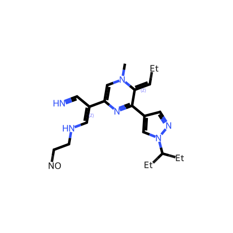 CC/C=C1/C(c2cnn(C(CC)CC)c2)=NC(/C(C=N)=C/NCCN=O)=CN1C